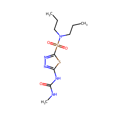 CCCN(CCC)S(=O)(=O)c1nnc(NC(=O)NC)s1